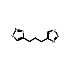 [CH](Cc1conn1)Cc1conn1